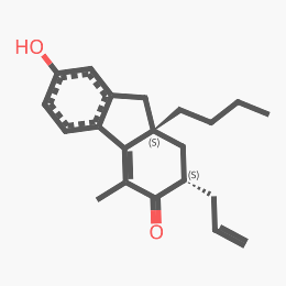 C=CC[C@H]1C[C@@]2(CCCC)Cc3cc(O)ccc3C2=C(C)C1=O